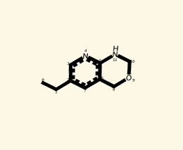 CCc1cnc2c(c1)COCN2